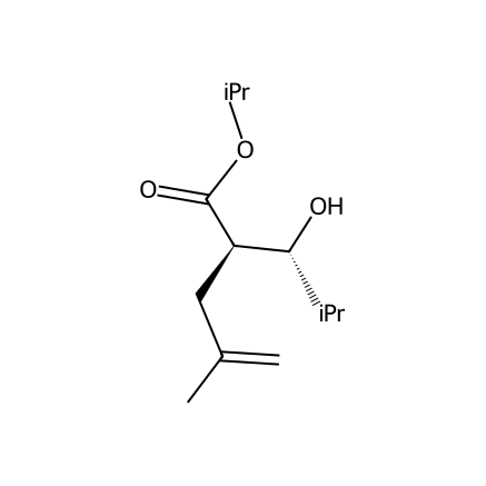 C=C(C)C[C@@H](C(=O)OC(C)C)[C@H](O)C(C)C